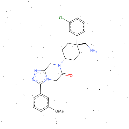 COc1cccc(-c2nnc3n2CC(=O)N([C@H]2CC[C@@](CN)(c4cccc(Cl)c4)CC2)C3)c1